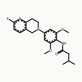 COc1cc(N2CCc3nc(F)ccc3C2)cc(OC)c1NC(=O)CC(C)C